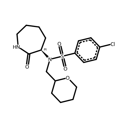 O=C1NCCCC[C@H]1N(CC1CCCCO1)S(=O)(=O)c1ccc(Cl)cc1